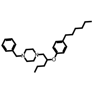 CCCCCCc1ccc(OC(CCC)CN2CCN(Cc3ccccc3)CC2)cc1